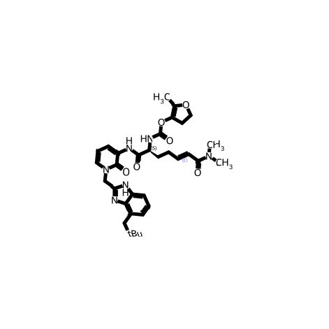 CC1=C(OC(=O)N[C@@H](CC/C=C/C(=O)N(C)C)C(=O)Nc2cccn(Cc3nc4c(CC(C)(C)C)cccc4[nH]3)c2=O)CCO1